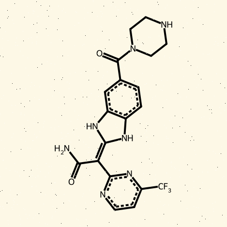 NC(=O)/C(=C1/Nc2ccc(C(=O)N3CCNCC3)cc2N1)c1nccc(C(F)(F)F)n1